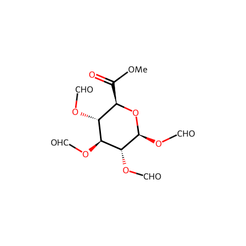 COC(=O)[C@H]1O[C@@H](OC=O)[C@H](OC=O)[C@@H](OC=O)[C@@H]1OC=O